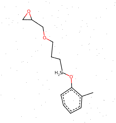 Cc1ccccc1O[SiH2]CCCOCC1CO1